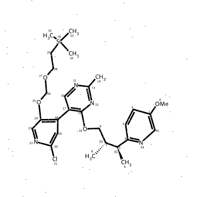 COc1ccc([C@@H](C)[C@H](C)COc2nc(C)ncc2-c2cc(Cl)ncc2OCOCC[Si](C)(C)C)nc1